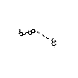 COc1cc(/C=C/c2ccc3cc(OCCOCCOCCOC(C[O])C4CCC(=O)NC4=O)ccc3n2)ccn1